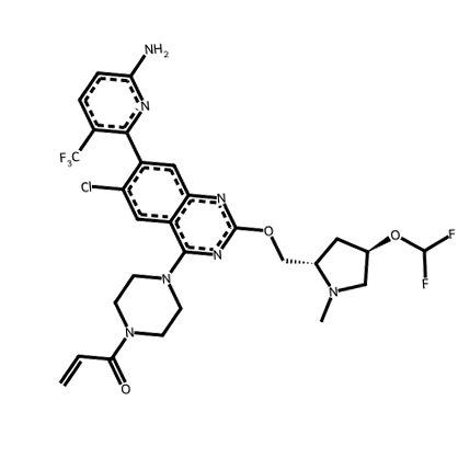 C=CC(=O)N1CCN(c2nc(OC[C@@H]3C[C@@H](OC(F)F)CN3C)nc3cc(-c4nc(N)ccc4C(F)(F)F)c(Cl)cc23)CC1